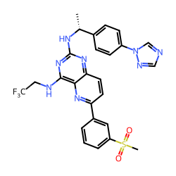 C[C@@H](Nc1nc(NCC(F)(F)F)c2nc(-c3cccc(S(C)(=O)=O)c3)ccc2n1)c1ccc(-n2cncn2)cc1